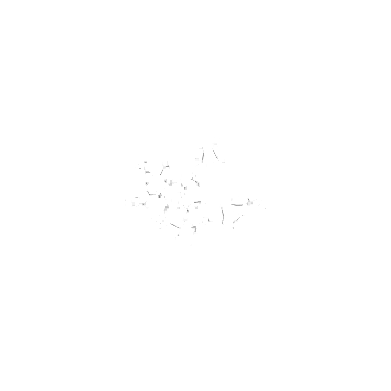 C=C(C)C(C(=O)OCc1ccc([N+](=O)[O-])cc1)N1C(=O)C(NC(=O)Cc2cccs2)C1[S+]([O-])N(NC(=O)OC(C)(C)C)C(=O)OC(C)(C)C